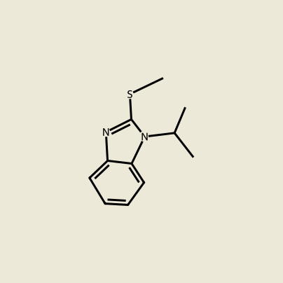 CSc1nc2ccccc2n1C(C)C